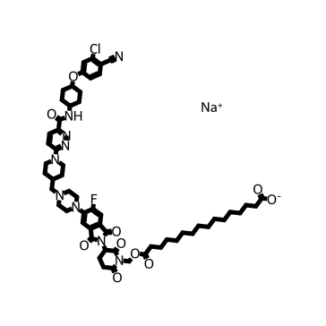 N#Cc1ccc(OC2CCC(NC(=O)c3ccc(N4CCC(CN5CCN(c6cc7c(cc6F)C(=O)N(C6CCC(=O)N(COC(=O)CCCCCCCCCCCCCCC(=O)[O-])C6=O)C7=O)CC5)CC4)nn3)CC2)cc1Cl.[Na+]